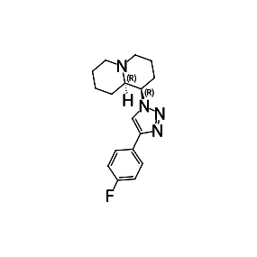 Fc1ccc(-c2cn([C@@H]3CCCN4CCCC[C@H]34)nn2)cc1